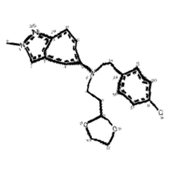 Cn1cc2cc(N(CCC3OCCO3)Cc3ccc(Cl)cc3)ccc2n1